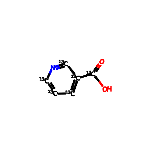 O=[13C](O)[13c]1[13cH][13cH][13cH]n[13cH]1